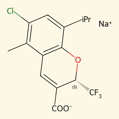 Cc1c(Cl)cc(C(C)C)c2c1C=C(C(=O)[O-])[C@@H](C(F)(F)F)O2.[Na+]